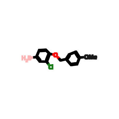 Bc1ccc(OCc2ccc(OC)cc2)c(Cl)c1